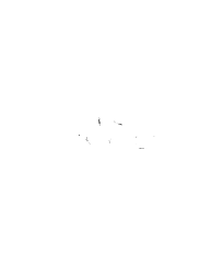 CN1CCC2(c3cccc(O)c3)Cc3c(c4cccc(Cl)c4n3C)CC2C1